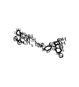 CC1OC(=O)C1NC(=O)C(Cc1ccccc1)NC(=O)CCCCCNC(=O)Cc1ccc(-c2c3ccc(=O)cc-3oc3cc(O)ccc23)c(C(=O)O)c1